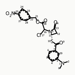 CN(C)c1cccc(C(=O)S[C@H]2CC(=O)N2C(Cl)C(=O)OCc2ccc([N+](=O)[O-])cc2)c1